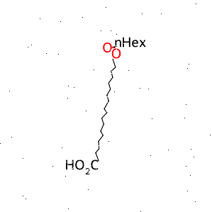 CCCCCCC(=O)OCCCCCCCCCCCCCCCCCCC(=O)O